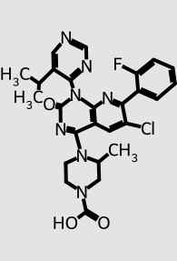 CC(C)c1cncnc1-n1c(=O)nc(N2CCN(C(=O)O)CC2C)c2cc(Cl)c(-c3ccccc3F)nc21